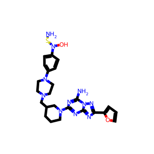 NSN(O)c1ccc(N2CCN(CC3CCCN(c4nc(N)n5nc(-c6ccco6)nc5n4)C3)CC2)cc1